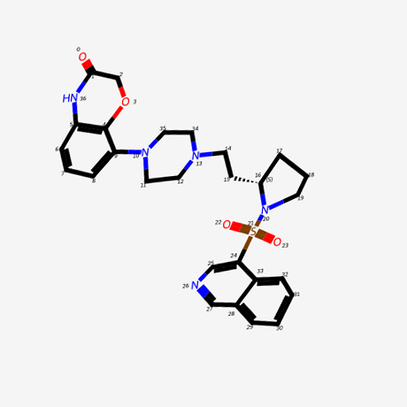 O=C1COc2c(cccc2N2CCN(CC[C@@H]3CCCN3S(=O)(=O)c3cncc4ccccc34)CC2)N1